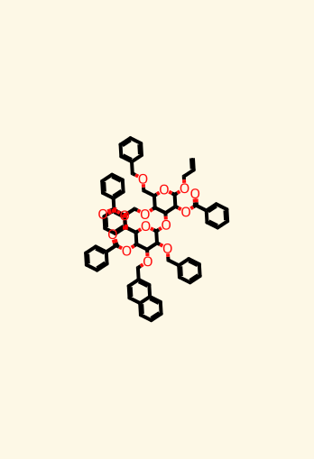 C=CCOC1OC(COCc2ccccc2)C(OCc2ccccc2)C(OC2OC(COC(=O)c3ccccc3)C(OC(=O)c3ccccc3)C(OCc3ccc4ccccc4c3)C2OCc2ccccc2)C1OC(=O)c1ccccc1